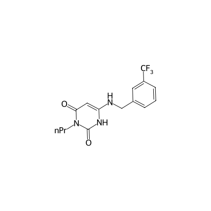 CCCn1c(=O)cc(NCc2cccc(C(F)(F)F)c2)[nH]c1=O